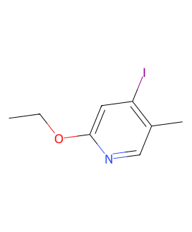 CCOc1cc(I)c(C)cn1